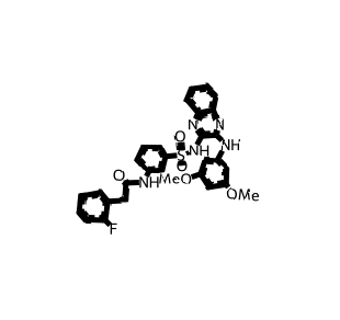 COc1cc(Nc2nc3ccccc3nc2NS(=O)(=O)c2cccc(NC(=O)Cc3ccccc3F)c2)cc(OC)c1